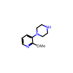 COc1ncccc1N1CCNCC1